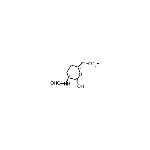 O=CN[C@H]1CC[C@@H](CC(=O)O)OB1O